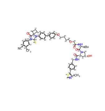 Cc1ncsc1-c1ccc(CNC(=O)[C@@H]2C[C@@H](O)CN2C(=O)C(NC(=O)COCCCCOc2ccc(-c3ccc(N4C(=S)N(c5ccc(C#N)c(C(F)(F)F)c5)C(=O)C45CCC5)cc3)cc2)C(C)(C)C)cc1